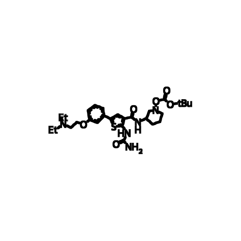 CCN(CC)CCOc1cccc(-c2cc(C(=O)NC3CCCN(OC(=O)OC(C)(C)C)C3)c(NC(N)=O)s2)c1